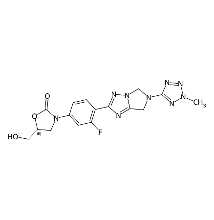 Cn1nnc(N2Cc3nc(-c4ccc(N5C[C@H](CO)OC5=O)cc4F)nn3C2)n1